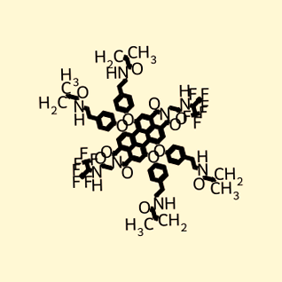 C=C(C)C(=O)NCCc1ccc(Oc2cc3c4c(cc(Oc5ccc(CCNC(=O)C(=C)C)cc5)c5c6c(Oc7ccc(CCNC(=O)C(=C)C)cc7)cc7c8c(cc(Oc9ccc(CCNC(=O)C(=C)C)cc9)c(c2c45)c86)C(=O)N(CC(=O)NC(C(F)(F)F)C(F)(F)F)C7=O)C(=O)N(CC(=O)NC(C(F)(F)F)C(F)(F)F)C3=O)cc1